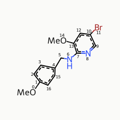 COc1ccc(CNc2ncc(Br)cc2OC)cc1